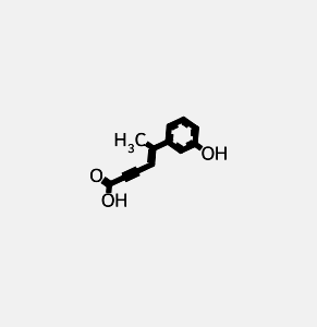 CC(=CC#CC(=O)O)c1cccc(O)c1